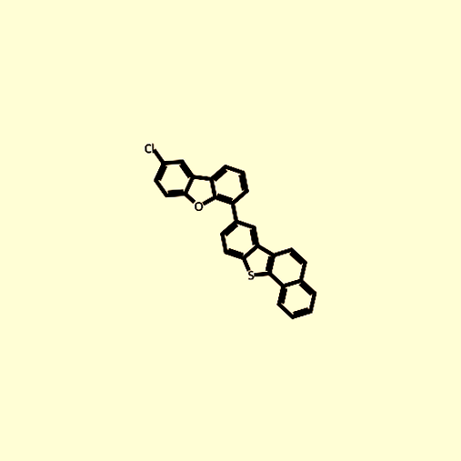 Clc1ccc2oc3c(-c4ccc5sc6c7ccccc7ccc6c5c4)cccc3c2c1